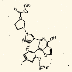 CC(C)Oc1cc(F)cc(F)c1-c1c(-c2cnn([C@H]3CCN(C(=O)OC(C)(C)C)C3)c2)nc(O)c2ccsc12